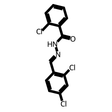 O=C(NN=Cc1ccc(Cl)cc1Cl)c1ccccc1Cl